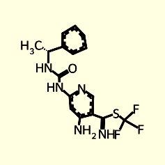 C[C@@H](NC(=O)Nc1cc(N)c(C(=N)SC(F)(F)F)cn1)c1ccccc1